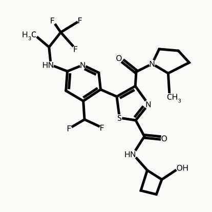 CC1CCCN1C(=O)c1nc(C(=O)NC2CCC2O)sc1-c1cnc(NC(C)C(F)(F)F)cc1C(F)F